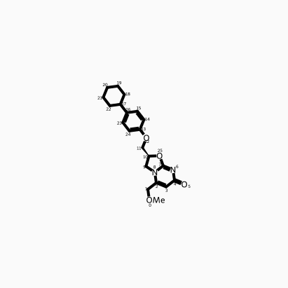 COCc1cc(=O)nc2n1C[C@@H](COc1ccc(C3CCCCC3)cc1)O2